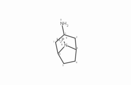 NC1CC2CCC(C1)N2P